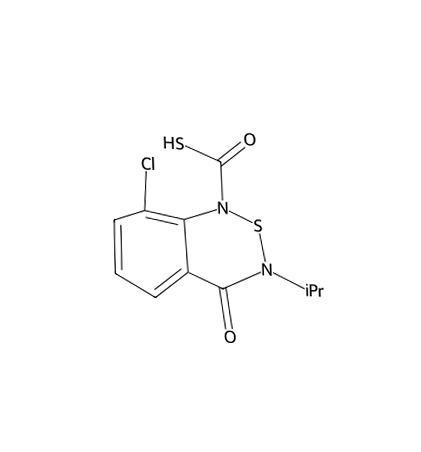 CC(C)N1SN(C(=O)S)c2c(Cl)cccc2C1=O